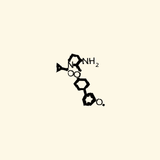 COc1cccc(C2CCC(OCC3C(N)CCCN3C(=O)C3CC3)CC2)c1